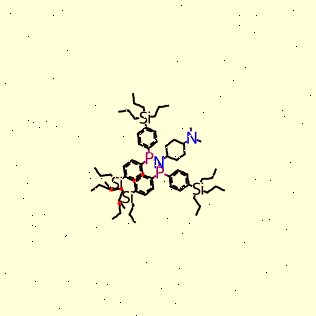 CCC[Si](CCC)(CCC)c1ccc(P(c2ccc([Si](CCC)(CCC)CCC)cc2)N(C2CCC(N(C)C)CC2)P(c2ccc([Si](CCC)(CCC)CCC)cc2)c2ccc([Si](CCC)(CCC)CCC)cc2)cc1